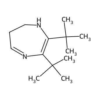 CC(C)(C)C1=C(C(C)(C)C)NCCC=N1